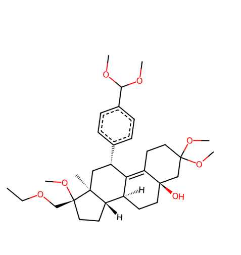 CCOC[C@]1(OC)CC[C@H]2[C@@H]3CC[C@@]4(O)CC(OC)(OC)CCC4=C3[C@@H](c3ccc(C(OC)OC)cc3)C[C@@]21C